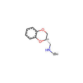 CC(C)(C)NC[C@H]1COc2ccccc2O1